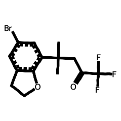 CC(C)(CC(=O)C(F)(F)F)c1cc(Br)cc2c1OCC2